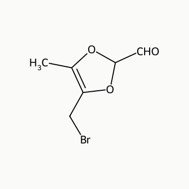 CC1=C(CBr)OC(C=O)O1